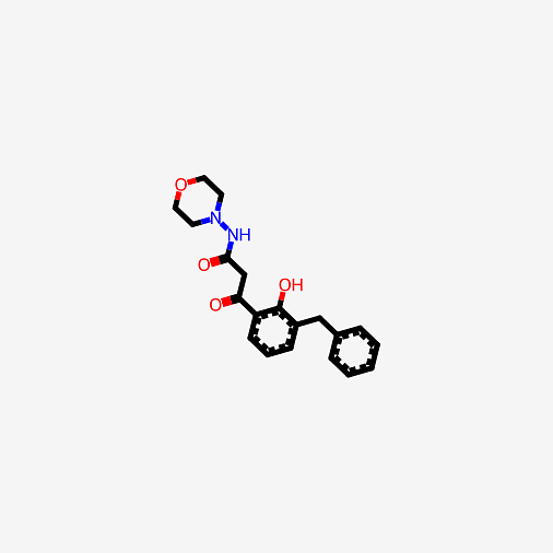 O=C(CC(=O)c1cccc(Cc2ccccc2)c1O)NN1CCOCC1